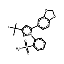 NS(=O)(=O)c1ccccc1-n1nc(C(F)(F)F)cc1-c1ccc2c(c1)OCO2